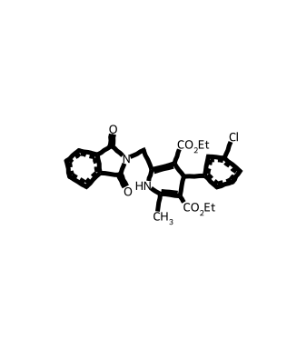 CCOC(=O)C1=C(C)NC(CN2C(=O)c3ccccc3C2=O)=C(C(=O)OCC)C1c1cccc(Cl)c1